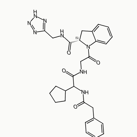 O=C(Cc1ccccc1)NC(C(=O)NCC(=O)N1c2ccccc2C[C@H]1C(=O)NCc1nn[nH]n1)C1CCCC1